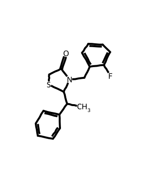 CC(c1ccccc1)C1SCC(=O)N1Cc1ccccc1F